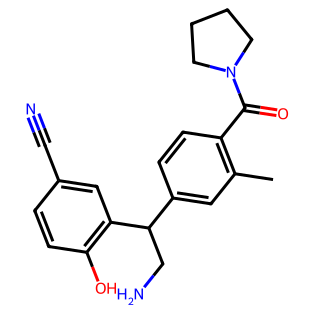 Cc1cc(C(CN)c2cc(C#N)ccc2O)ccc1C(=O)N1CCCC1